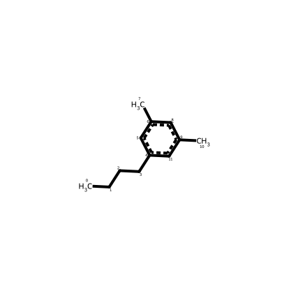 CCCCc1cc(C)[c]c(C)c1